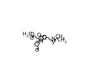 COC(=O)CCc1c(N2CCCC(C=O)C2)nc2cc(CCc3nc(C(C)C)cs3)ccn2c1=O